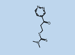 CN(C)C(=S)SCCC(=O)c1ccnnc1